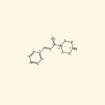 O=C(C=Cc1ccncc1)N1CCNCC1